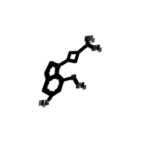 COc1cc(C)cc2ccn(C3CC(N(C)C)C3)c12